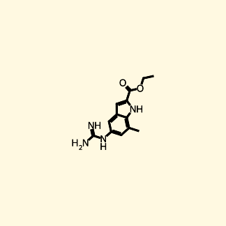 CCOC(=O)c1cc2cc(NC(=N)N)cc(C)c2[nH]1